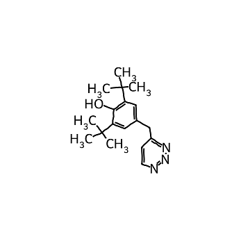 CC(C)(C)c1cc(Cc2ccnnn2)cc(C(C)(C)C)c1O